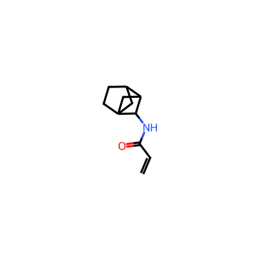 C=CC(=O)NC1C2CC13CCC2C3